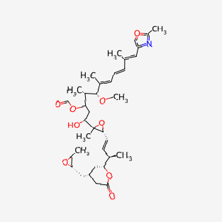 CO[C@@H](/C(C)=C/C=C/C(C)=C/c1coc(C)n1)[C@@H](C)C(C[C@H](O)C1(C)O[C@@H]1/C=C/[C@@H](C)[C@H]1C[C@@H](C[C@@H]2OC2C)CC(=O)O1)OC=O